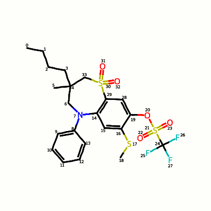 CCCCC1(C)CN(c2ccccc2)c2cc(SC)c(OS(=O)(=O)C(F)(F)F)cc2S(=O)(=O)C1